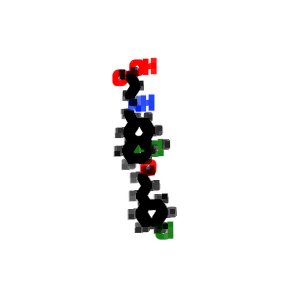 Cl.O=C(O)CCNCc1ccc2cc(OCCCc3ccc(Cl)cc3)ccc2c1